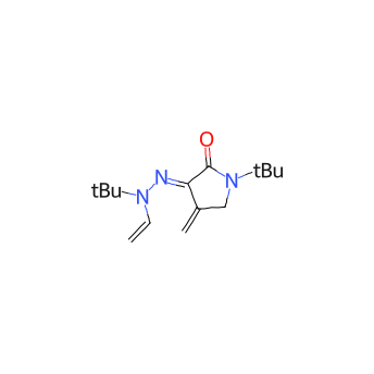 C=CN(/N=C1\C(=C)CN(C(C)(C)C)C1=O)C(C)(C)C